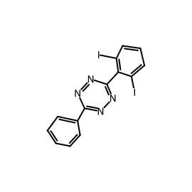 Ic1cccc(I)c1-c1nnc(-c2ccccc2)nn1